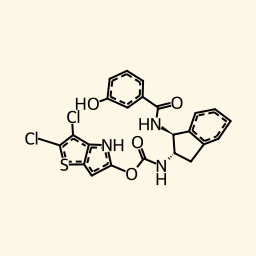 O=C(N[C@H]1Cc2ccccc2[C@@H]1NC(=O)c1cccc(O)c1)Oc1cc2sc(Cl)c(Cl)c2[nH]1